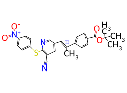 C/C(=C\c1cnc(Sc2ccc([N+](=O)[O-])cc2)c(C#N)c1)c1ccc(C(=O)OC(C)(C)C)cc1